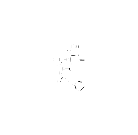 C=CC[C@H](NC(=O)OC(C)(C)C)C(=O)N1[C@H](C=O)CCN1C(=O)OCc1ccccc1